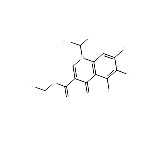 CCOC(=O)c1cn(C(C)C)c2cc(F)c(F)c(F)c2c1=O